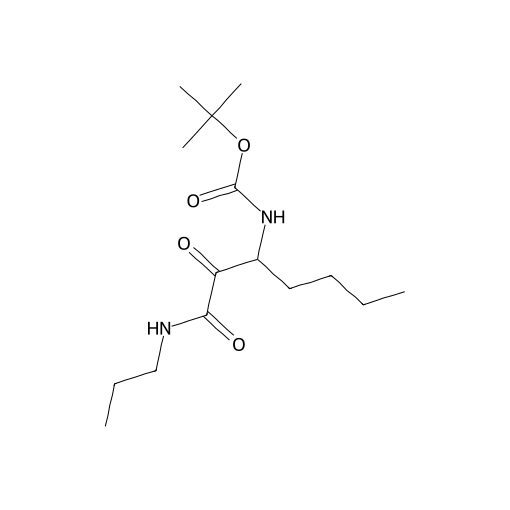 CCCCC(NC(=O)OC(C)(C)C)C(=O)C(=O)NCCC